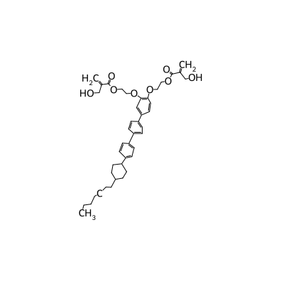 C=C(CO)C(=O)OCCOc1ccc(-c2ccc(-c3ccc(C4CCC(CCCCCCC)CC4)cc3)cc2)cc1OCCOC(=O)C(=C)CO